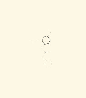 COc1cc(N)ccc1NC(=O)CN1CCCC1